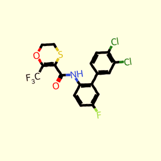 O=C(Nc1ccc(F)cc1-c1ccc(Cl)c(Cl)c1)C1=C(C(F)(F)F)OCCS1